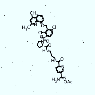 CC(=O)O/N=C(\N)c1ccc(C(=O)NCCCNC(=O)[C@@H]2CCCN2S(=O)(=O)c2ccc(Cl)c(COc3cccc4c(C)cc(C)nc34)c2Cl)nc1